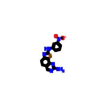 Nc1ncc2c(n1)-c1sc(Nc3cccc([N+](=O)[O-])c3)nc1CC2